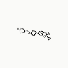 NCC(=CF)COc1ccc(C23CCC(NS(=O)(=O)C4CC4)(CC2)CC3)cc1